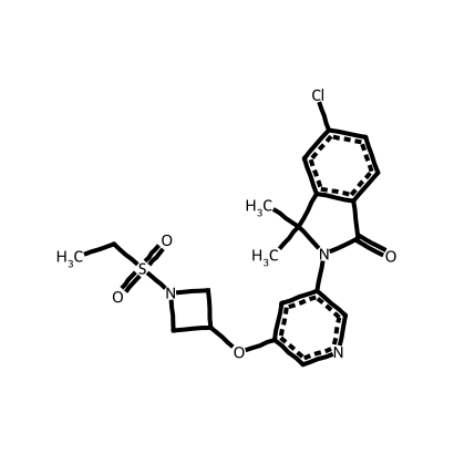 CCS(=O)(=O)N1CC(Oc2cncc(N3C(=O)c4ccc(Cl)cc4C3(C)C)c2)C1